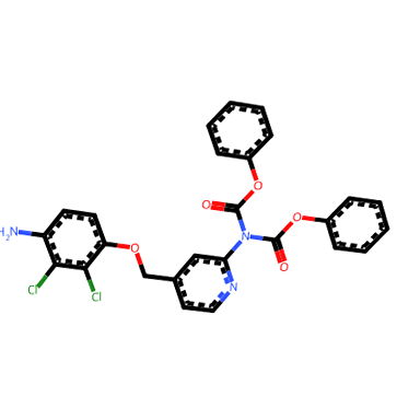 Nc1ccc(OCc2ccnc(N(C(=O)Oc3ccccc3)C(=O)Oc3ccccc3)c2)c(Cl)c1Cl